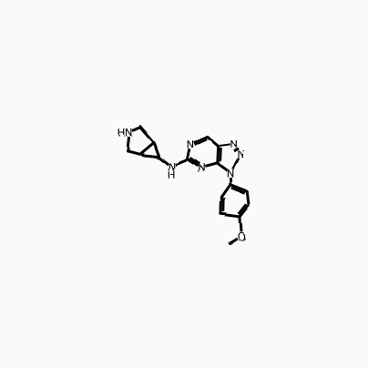 COc1ccc(-n2nnc3cnc(NC4C5CNCC54)nc32)cc1